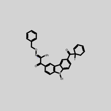 CCC/C(=N\OCc1ccccc1)C(=O)c1ccc2c(c1)c1cc(C(=O)C3(I)C=CC=CC3)ccc1n2CC